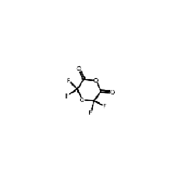 O=C1OC(=O)C(F)(F)OC1(F)F